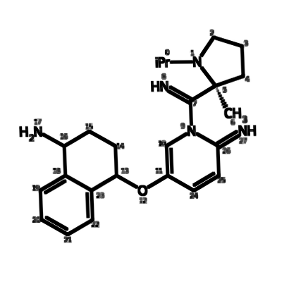 CC(C)N1CCC[C@@]1(C)C(=N)n1cc(OC2CCC(N)c3ccccc32)ccc1=N